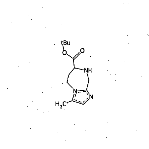 Cc1cnc2n1CCC(C(=O)OC(C)(C)C)NC2